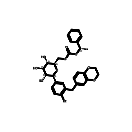 CCc1ccc([C@@H]2O[C@H](COC(=O)O[C@@H](C)c3ccccc3)[C@@H](O)[C@H](O)[C@H]2O)cc1Cc1ccc2c(c1)OCCO2